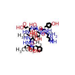 CC[C@H](C)[C@H](NC(=O)[C@H](C)NC(=O)[C@H](CCC(=O)O)NC(=O)[C@H](CO)NC(=O)[C@H](CC(=O)O)NC(=O)[C@H](Cc1ccc(O)cc1)NC(=O)[C@@H](N)Cc1c[nH]cn1)C(=O)N[C@@H](CC(C)C)C(=O)N[C@@H](Cc1ccccc1)C(=O)O